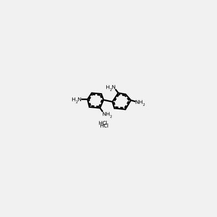 Cl.Cl.Nc1ccc(-c2ccc(N)cc2N)c(N)c1